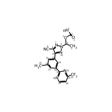 CCCC(=O)OC(C)n1nc(C#N)c(-c2cc(C)cc(-c3nccc(C(F)(F)F)n3)c2)n1